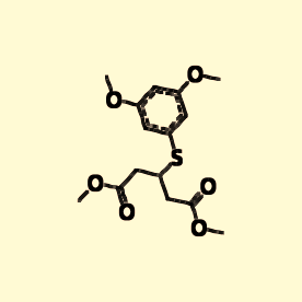 COC(=O)CC(CC(=O)OC)Sc1cc(OC)cc(OC)c1